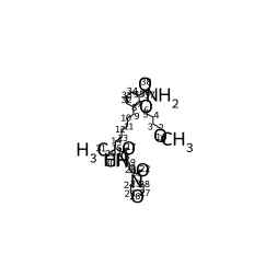 COCCCCOc1c(CCCCCCC(C(=O)NCCC(=O)N2CCOCC2)C(C)C)cccc1C(N)=O